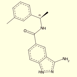 Cc1cccc([C@@H](C)NC(=O)c2ccc3[nH]nc(N)c3c2)c1